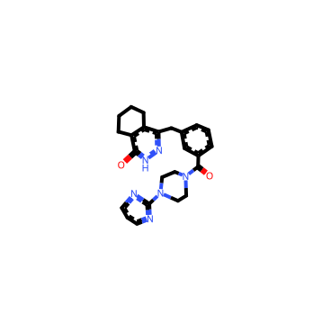 O=C(c1cccc(Cc2n[nH]c(=O)c3c2CCCC3)c1)N1CCN(c2ncccn2)CC1